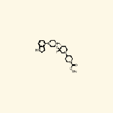 CC(C)(C)OC(=O)N1CCC(N2CC[C@@H](CN3CCN(c4cccc5c4CCN5)CC3)C(F)(F)C2)CC1